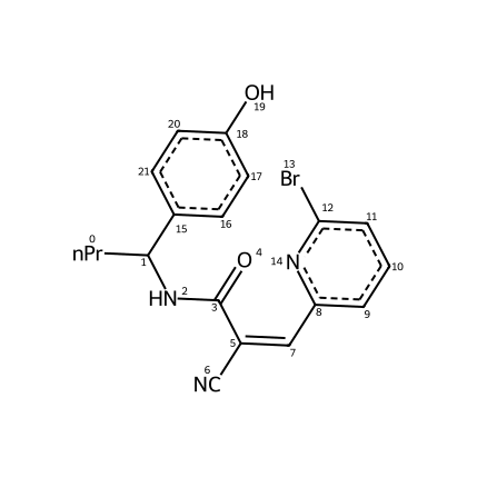 CCCC(NC(=O)C(C#N)=Cc1cccc(Br)n1)c1ccc(O)cc1